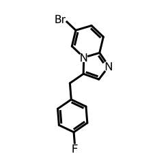 Fc1ccc(Cc2cnc3ccc(Br)cn23)cc1